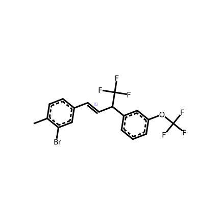 Cc1ccc(/C=C/C(c2cccc(OC(F)(F)F)c2)C(F)(F)F)cc1Br